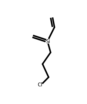 C=C[Si](=C)CCCCl